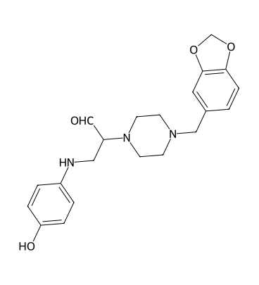 O=CC(CNc1ccc(O)cc1)N1CCN(Cc2ccc3c(c2)OCO3)CC1